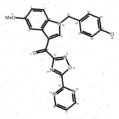 COc1ccc2c(c1)c(C(=O)c1noc(-c3ncccn3)n1)cn2Cc1ccc(Cl)cc1